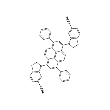 N#Cc1ccc2c(c1)N(c1cc(-c3ccccc3)c3ccc4c(N5CCc6ccc(C#N)cc65)cc(-c5ccccc5)c5ccc1c3c54)CC2